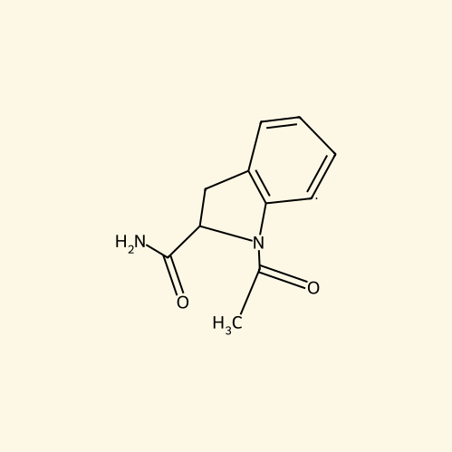 CC(=O)N1c2[c]cccc2CC1C(N)=O